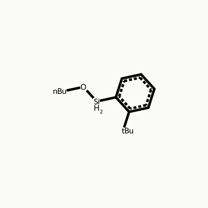 CCCCO[SiH2]c1ccccc1C(C)(C)C